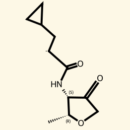 C[C@H]1OCC(=O)[C@H]1NC(=O)[CH]CC1CC1